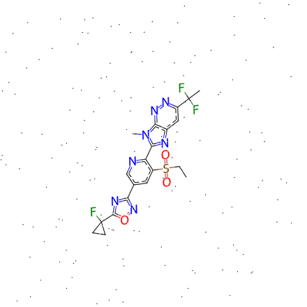 CCS(=O)(=O)c1cc(-c2noc(C3(F)CC3)n2)cnc1-c1nc2cc(C(C)(F)F)nnc2n1C